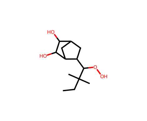 CCC(C)(C)C(OO)C1CC2CC1C(O)C2O